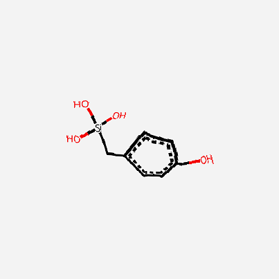 Oc1ccc(C[Si](O)(O)O)cc1